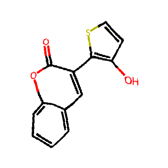 O=c1oc2ccccc2cc1-c1sccc1O